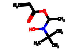 C=CC(=O)OC(C)N(O)C(C)(C)C